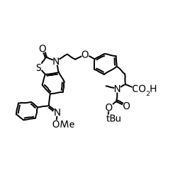 CON=C(c1ccccc1)c1ccc2c(c1)sc(=O)n2CCOc1ccc(CC(C(=O)O)N(C)C(=O)OC(C)(C)C)cc1